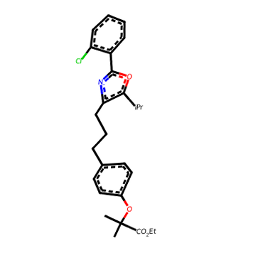 CCOC(=O)C(C)(C)Oc1ccc(CCCc2nc(-c3ccccc3Cl)oc2C(C)C)cc1